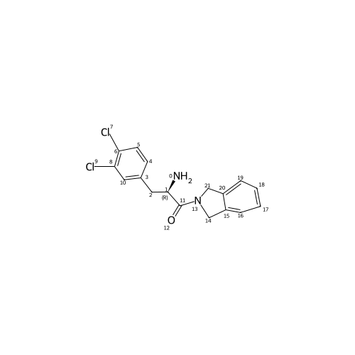 N[C@H](Cc1ccc(Cl)c(Cl)c1)C(=O)N1Cc2ccccc2C1